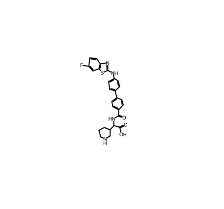 O=C(NC(C(=O)O)C1CCCNC1)c1ccc(-c2ccc(Nc3nc4ccc(F)cc4s3)cc2)cc1